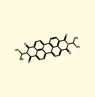 CCCC(CCC)N1C(=O)c2ccc3c4ccc5c6c(ccc(c7ccc(c2c37)C1=O)c64)C(=O)N(C(CCC)CCC)C5=O